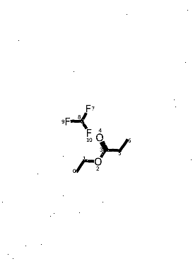 CCOC(=O)CC.FC(F)F